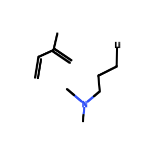 C=CC(=C)C.[Li][CH2]CCN(C)C